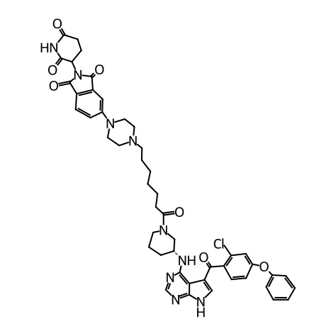 O=C1CCC(N2C(=O)c3ccc(N4CCN(CCCCCCC(=O)N5CCC[C@@H](Nc6ncnc7[nH]cc(C(=O)c8ccc(Oc9ccccc9)cc8Cl)c67)C5)CC4)cc3C2=O)C(=O)N1